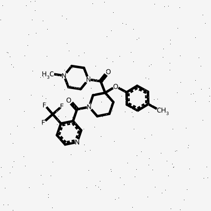 Cc1ccc(OC2(C(=O)N3CCN(C)CC3)CCCN(C(=O)c3cnccc3C(F)(F)F)C2)cc1